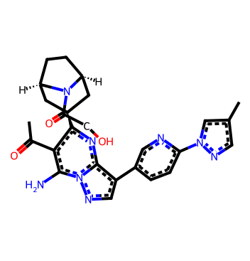 CC(=O)c1c([C@H]2C[C@H]3CC[C@@H](C2)N3C(=O)CO)nc2c(-c3ccc(-n4cc(C)cn4)nc3)cnn2c1N